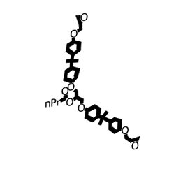 CCCC(=O)OC(COc1ccc(C(C)(C)c2ccc(OCC3CO3)cc2)cc1)COc1ccc(C(C)(C)c2ccc(OCC3CO3)cc2)cc1